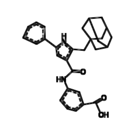 O=C(O)c1cccc(NC(=O)c2cc(-c3ccccc3)[nH]c2CC23CC4CC(CC(C4)C2)C3)c1